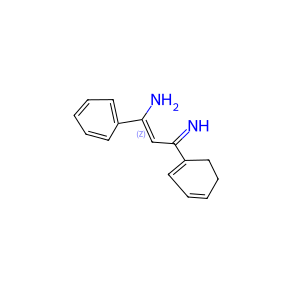 N=C(/C=C(\N)c1ccccc1)C1=CC=CCC1